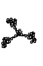 CC1(C)O[C@@H]2[C@H](O1)[C@H](N1CCOC1=O)CO[C@@H]2COCCOCC(N)(COCCOC[C@H]1OC[C@@H](N2CCOC2=O)[C@H]2OC(C)(C)O[C@H]21)COCCOC[C@H]1OC[C@@H](N2CCOC2=O)[C@H]2OC(C)(C)O[C@H]21